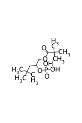 CC(C)(C)CC(COC(=O)C(C)(C)C)OP(=O)(O)O